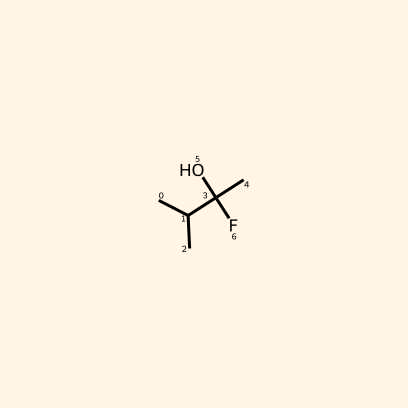 CC(C)C(C)(O)F